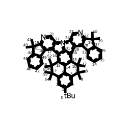 CC(C)(C)c1cc2c3c(c1)C(C)(C)C(C)(C)c1c-3c(c3c4c5c(ncc4n4c6cnc7c(c6c1c34)-c1ccccc1C7(C)C)C(C)(C)c1ccccc1-5)C(C)(C)C2(C)C